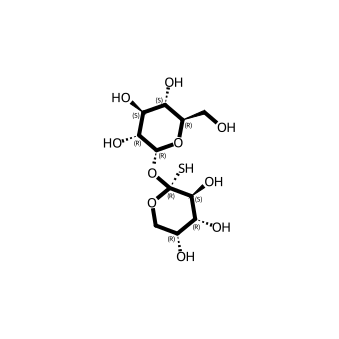 OC[C@H]1O[C@H](O[C@]2(S)OC[C@@H](O)[C@@H](O)[C@@H]2O)[C@H](O)[C@@H](O)[C@@H]1O